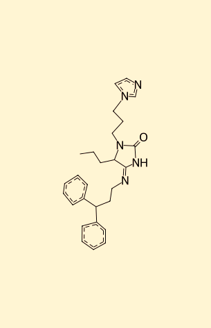 CCCC1C(=NCCC(c2ccccc2)c2ccccc2)NC(=O)N1CCCn1ccnc1